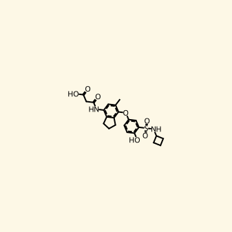 Cc1cc(NC(=O)CC(=O)O)c2c(c1Oc1ccc(O)c(S(=O)(=O)NC3CCC3)c1)CCC2